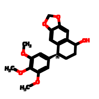 COc1cc([C@H]2CCC(O)c3cc4c(cc32)OCO4)cc(OC)c1OC